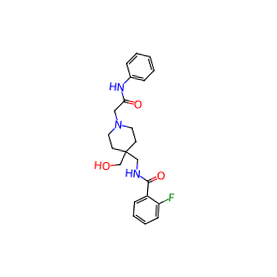 O=C(CN1CCC(CO)(CNC(=O)c2ccccc2F)CC1)Nc1ccccc1